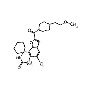 COCCN1CCN(C(=O)c2nc3cc(Cl)c4c(c3o2)C2(CCCCC2)NC(=O)N4)CC1